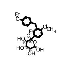 C.CCOc1ccc(Cc2cc([C@]3(OCC)O[C@@H](O)[C@@H](O)[C@H](O)[C@H]3O)ccc2Cl)cc1